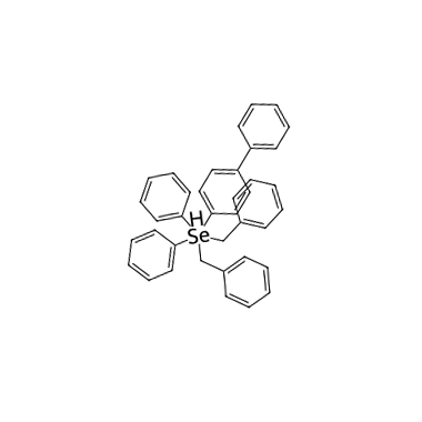 c1ccc(C[SeH](Cc2ccccc2)(c2ccccc2)(c2ccccc2)c2ccc(-c3ccccc3)cc2)cc1